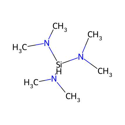 CN(C)[SiH](N(C)C)N(C)C